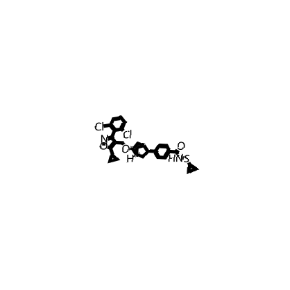 O=C(NSC1CC1)c1ccc(C2C[C@@H]3CC2C[C@H]3OCc2c(-c3c(Cl)cccc3Cl)noc2C2CC2)cc1